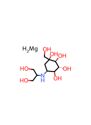 OCC(CO)N[C@H]1C[C@](O)(CO)[C@@H](O)[C@H](O)[C@H]1O.[MgH2]